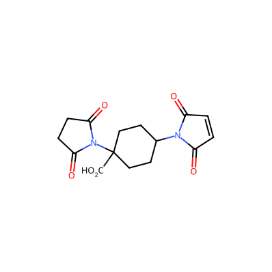 O=C1C=CC(=O)N1C1CCC(C(=O)O)(N2C(=O)CCC2=O)CC1